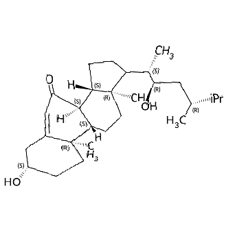 CC(C)[C@H](C)C[C@@H](O)[C@@H](C)C1CC[C@H]2[C@@H]3C(=O)C=C4C[C@@H](O)CC[C@]4(C)[C@H]3CC[C@]12C